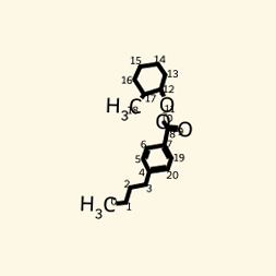 CCCCc1ccc(C(=O)OO[C]2CCCCC2C)cc1